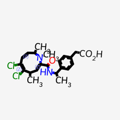 CC1/C=C(/C(=O)NC(C)c2ccc(CC(=O)O)cc2)N(C)C(C)/C=C\C(Cl)=C/1Cl